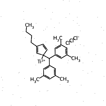 CCCCC1=C[C]([Ti+3])(C(c2cc(C)cc(C)c2)c2cc(C)cc(C)c2)C=C1.[Cl-].[Cl-].[Cl-]